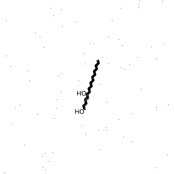 CCCCCCCCCCCCC(O)/C=C/CCCO